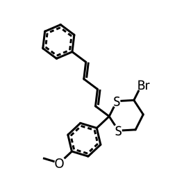 COc1ccc(C2(C=CC=Cc3ccccc3)SCCC(Br)S2)cc1